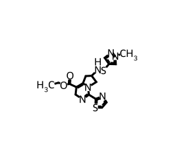 CCOC(=O)C1=C2CC(NSc3cnn(C)c3)CN2C(c2nccs2)=NC1